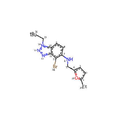 CCc1ccc(CNc2ccc3c(nnn3CC(C)(C)C)c2Br)o1